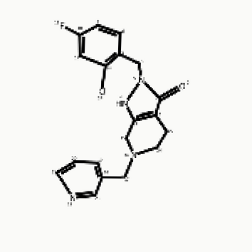 O=c1c2c([nH]n1Cc1ccc(F)cc1Cl)CN(Cc1cccnc1)CC2